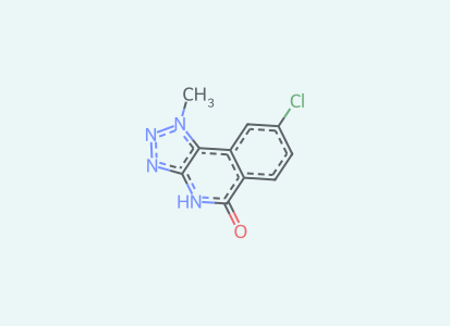 Cn1nnc2[nH]c(=O)c3ccc(Cl)cc3c21